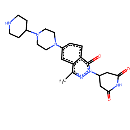 Cc1nn(C2CC(=O)NC(=O)C2)c(=O)c2ccc(N3CCN(C4CCNCC4)CC3)cc12